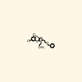 CC(=O)OCCn1c(CCOCc2ccccc2)nc(C(C)C)c1Sc1cc(Cl)cc(Cl)c1